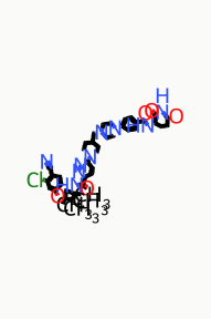 CC1(NC(=O)c2ccc(N3CCC(CN4CCN(c5ccc(C(=O)NC6CCC(=O)NC6=O)cc5)CC4)CC3)nn2)CC(C)(Oc2ccc(C#N)c(Cl)c2)C1(C)C